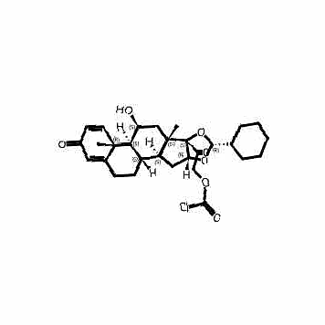 C[C@]12C=CC(=O)C=C1CC[C@@H]1[C@@H]2[C@@H](O)C[C@@]2(C)[C@H]1C[C@H]1O[C@@H](C3CCCCC3)O[C@]12C(=O)COC(=O)Cl